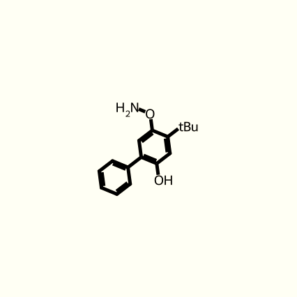 CC(C)(C)c1cc(O)c(-c2ccccc2)cc1ON